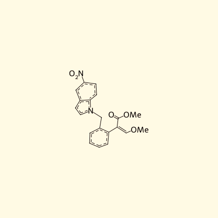 COC=C(C(=O)OC)c1ccccc1Cn1ccc2cc([N+](=O)[O-])ccc21